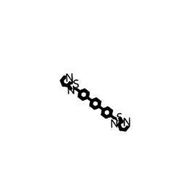 c1cnc2sc(-c3ccc(-c4ccc(-c5ccc(-c6nc7cccnc7s6)cc5)cc4)cc3)nc2c1